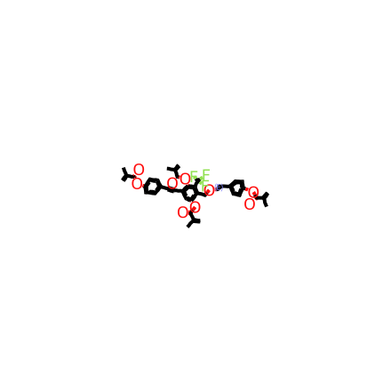 C=C(C)C(=O)Oc1ccc(C#Cc2cc(OC(=O)C(=C)C)c(CO/C=C/c3ccc(OC(=O)C(=C)C)cc3)c(C(F)(F)F)c2OC(=O)C(=C)C)cc1